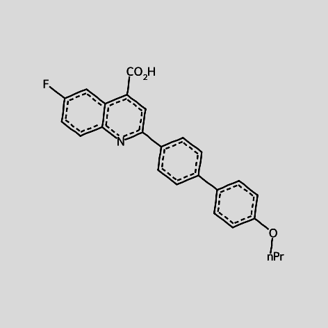 CCCOc1ccc(-c2ccc(-c3cc(C(=O)O)c4cc(F)ccc4n3)cc2)cc1